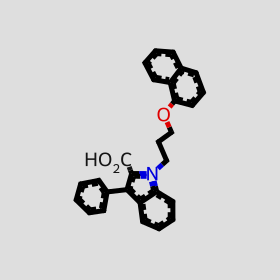 O=C(O)c1c(-c2ccccc2)c2ccccc2n1CCCOc1cccc2ccccc12